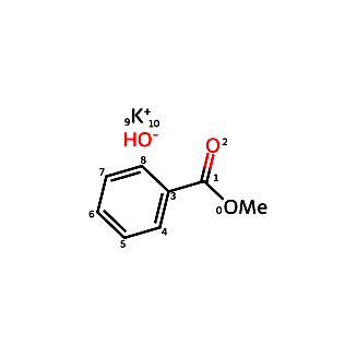 COC(=O)c1ccccc1.[K+].[OH-]